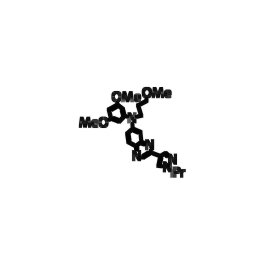 COCCCN(c1cc(OC)cc(OC)c1)c1ccc2ncc(-c3cnn(C(C)C)c3)nc2c1